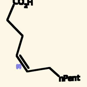 CCCCCC/C=C\CCC(=O)O